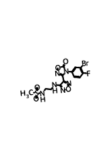 CS(=O)(=O)NCCNc1nonc1-c1noc(=O)n1-c1ccc(F)c(Br)c1